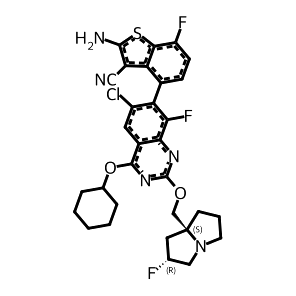 N#Cc1c(N)sc2c(F)ccc(-c3c(Cl)cc4c(OC5CCCCC5)nc(OC[C@@]56CCCN5C[C@H](F)C6)nc4c3F)c12